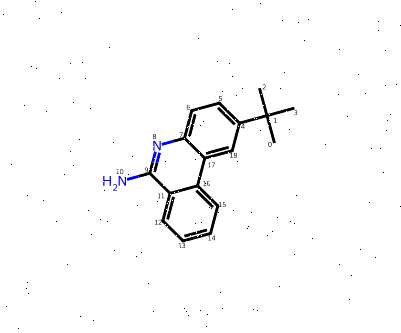 CC(C)(C)c1ccc2nc(N)c3ccccc3c2c1